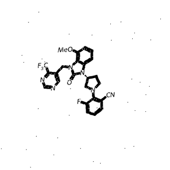 COc1cccc2c1n(Cc1cncnc1C(F)(F)F)c(=O)n2[C@@H]1CCN(c2c(F)cccc2C#N)C1